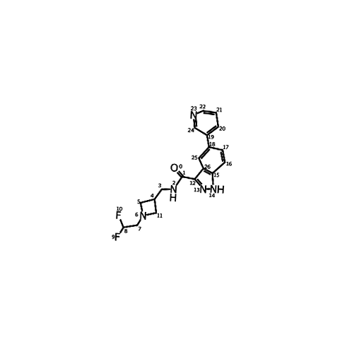 O=C(NCC1CN(CC(F)F)C1)c1n[nH]c2ccc(-c3cccnc3)cc12